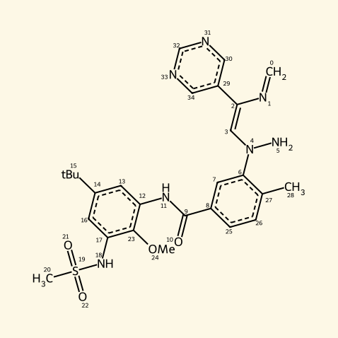 C=N/C(=C\N(N)c1cc(C(=O)Nc2cc(C(C)(C)C)cc(NS(C)(=O)=O)c2OC)ccc1C)c1cncnc1